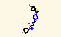 C[C@H]1CC[C@H](NC(=O)CCCN2CCN(c3csc4cc(C(F)(F)F)ccc34)CC2)CC1